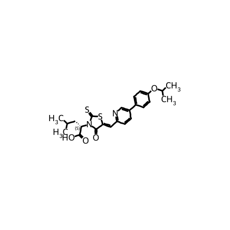 CC(C)C[C@@H](C(=O)O)N1C(=O)C(=Cc2ccc(-c3ccc(OC(C)C)cc3)cn2)SC1=S